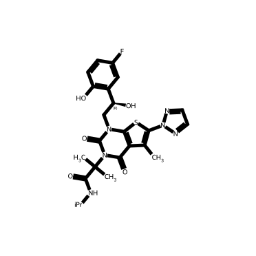 Cc1c(-n2nccn2)sc2c1c(=O)n(C(C)(C)C(=O)NC(C)C)c(=O)n2C[C@H](O)c1cc(F)ccc1O